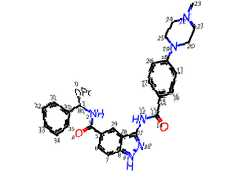 CCC[C@@H](NC(=O)c1ccc2[nH]nc(NC(=O)c3ccc(N4CCN(C)CC4)cc3)c2c1)c1ccccc1